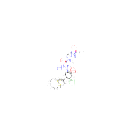 C=CC(=O)N1CCN(C(=O)CNc2cc(C3CCS4(CCCCCCC4)C3)c(Cl)cc2OC)CC1